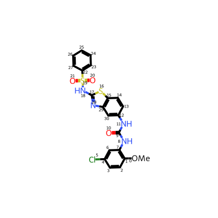 COc1ccc(Cl)cc1NC(=O)Nc1ccc2sc(NS(=O)(=O)c3ccccc3)nc2c1